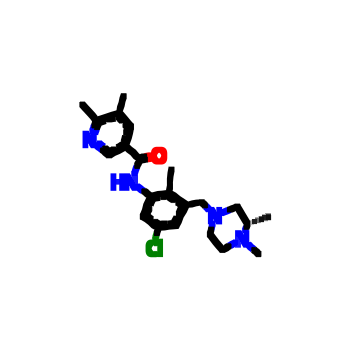 Cc1cc(C(=O)Nc2cc(Cl)cc(CN3CCN(C)[C@@H](C)C3)c2C)cnc1C